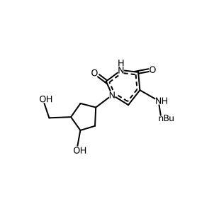 CCCCNc1cn(C2CC(O)C(CO)C2)c(=O)[nH]c1=O